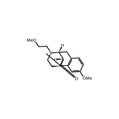 COCCN1CC[C@]23CC(=O)CC[C@H]2[C@H]1Cc1ccc(OC)cc13